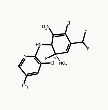 O=[N+]([O-])C1=C(Cl)C(C(F)F)=C[C@](F)([N+](=O)[O-])C1Nc1ncc(C(F)(F)F)cc1Cl